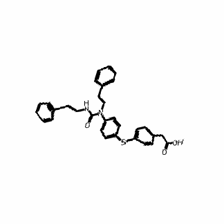 O=C(O)Cc1ccc(Sc2ccc(N(CCc3ccccc3)C(=O)NCCc3ccccc3)cc2)cc1